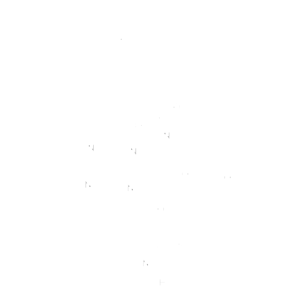 COc1ccccc1Oc1c(NS(=O)(=O)c2ccc(C(C)(C)C)cc2)nc(-c2ncccn2)nc1OCC(=O)NO